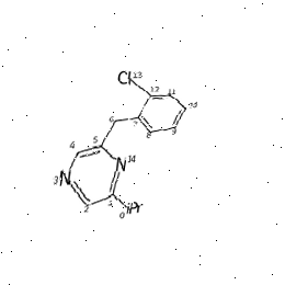 CC(C)c1cncc(Cc2ccccc2Cl)n1